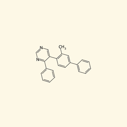 Cc1cc(-c2ccccc2)ccc1-c1cncnc1-c1ccccc1